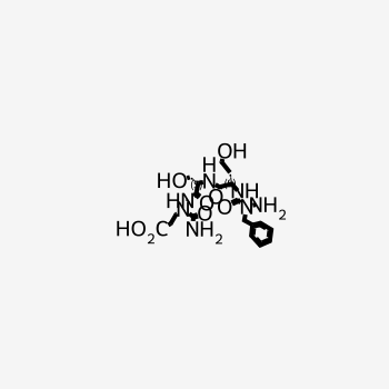 NC(=O)N(CCC(=O)O)NC(=O)[C@H](CO)NC(=O)[C@H](CCO)NC(=O)N(N)Cc1ccccc1